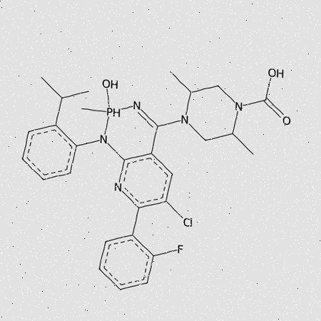 CC(C)c1ccccc1N1c2nc(-c3ccccc3F)c(Cl)cc2C(N2CC(C)N(C(=O)O)CC2C)=N[PH]1(C)O